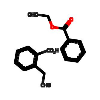 O=CCOC(=O)c1ccccc1.O=CCc1ccccc1C(=O)O